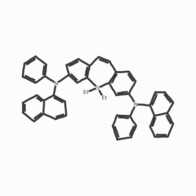 CCS1(CC)c2cc(N(c3ccccc3)c3cccc4ccccc34)ccc2C=Cc2ccc(N(c3ccccc3)c3cccc4ccccc34)cc21